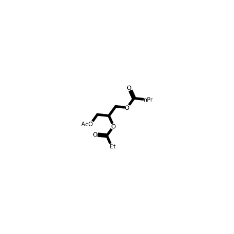 CCCC(=O)OCC(COC(C)=O)OC(=O)CC